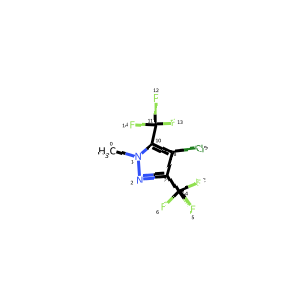 Cn1nc(C(F)(F)F)c(Cl)c1C(F)(F)F